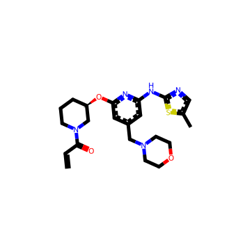 C=CC(=O)N1CCC[C@@H](Oc2cc(CN3CCOCC3)cc(Nc3ncc(C)s3)n2)C1